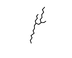 CCCCCCCCC(CCCC)CC(CC)CCCCCC